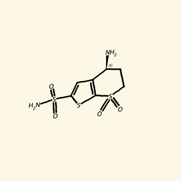 N[C@H]1CCS(=O)(=O)c2sc(S(N)(=O)=O)cc21